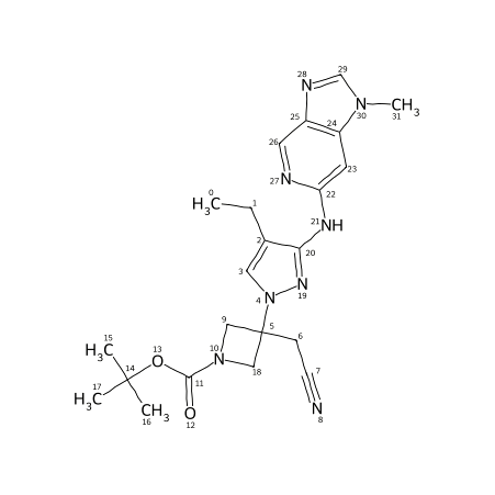 CCc1cn(C2(CC#N)CN(C(=O)OC(C)(C)C)C2)nc1Nc1cc2c(cn1)ncn2C